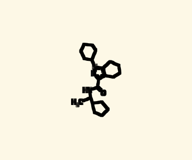 CC(NC(=O)c1nn(C2CCCCC2)c2c1CCCC2)C1CCCC1